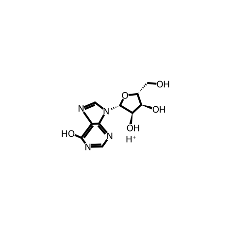 OC[C@H]1O[C@@H](n2cnc3c(O)ncnc32)[C@H](O)[C@@H]1O.[H+]